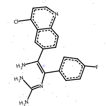 NC(N)=N/C(=C(\N)c1ccc2nccc(Cl)c2c1)c1ccc(F)cc1